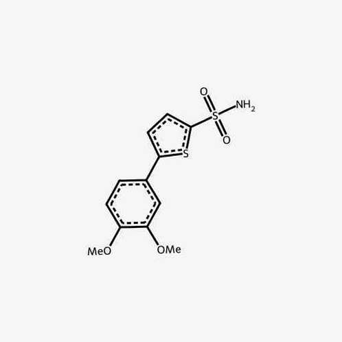 COc1ccc(-c2ccc(S(N)(=O)=O)s2)cc1OC